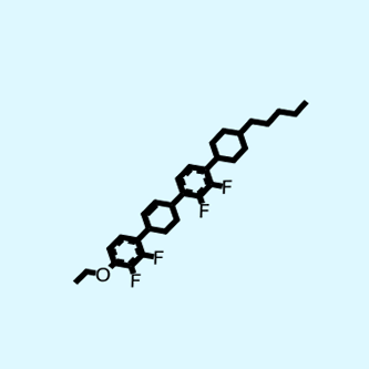 CCCCCC1CCC(c2ccc(C3C=CC(c4ccc(OCC)c(F)c4F)CC3)c(F)c2F)CC1